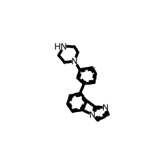 [c]1ccc(-c2cccc3c2-c2nccn2-3)cc1N1CCNCC1